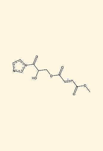 COC(=O)/C=C/C(=O)OCC(O)C(=O)n1ccnc1